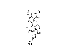 C=CC(=O)NC1CN(CCN)CC1Nc1ncc2c(n1)N(C)C(=O)N(c1c(Cl)c(OC)cc(OC)c1Cl)C2